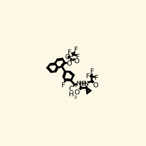 C[C@@H](NC(=O)C1(NC(=O)C(F)(F)F)CC1)c1ccc(-c2c(OS(=O)(=O)C(F)(F)F)ccc3ccccc23)cc1F